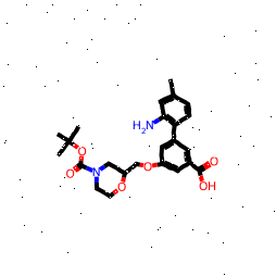 Cc1ccc(-c2cc(OCC3CN(C(=O)OC(C)(C)C)CCO3)cc(C(=O)O)c2)c(N)c1